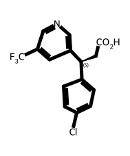 O=C(O)C[C@@H](c1ccc(Cl)cc1)c1cncc(C(F)(F)F)c1